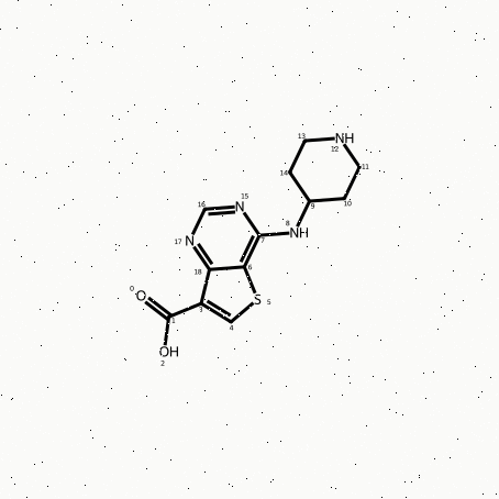 O=C(O)c1csc2c(NC3CCNCC3)ncnc12